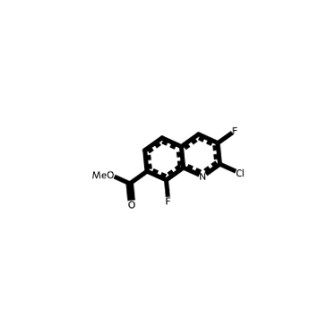 COC(=O)c1ccc2cc(F)c(Cl)nc2c1F